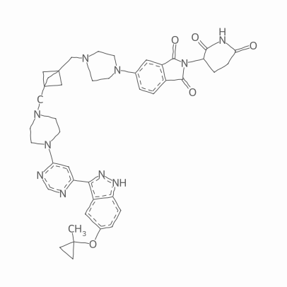 CC1(Oc2ccc3[nH]nc(-c4cc(N5CCN(CC67CC(CN8CCN(c9ccc%10c(c9)C(=O)N(C9CCC(=O)NC9=O)C%10=O)CC8)(C6)C7)CC5)ncn4)c3c2)CC1